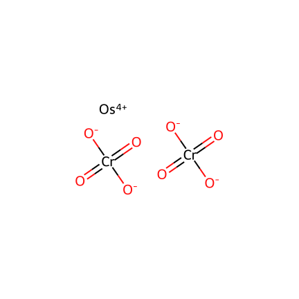 [O]=[Cr](=[O])([O-])[O-].[O]=[Cr](=[O])([O-])[O-].[Os+4]